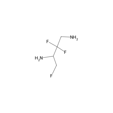 NCC(F)(F)C(N)CF